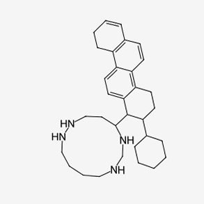 C1=Cc2ccc3c4c(ccc3c2CC1)C(C1CCNNCCCCNCN1)C(C1CCCCC1)CC4